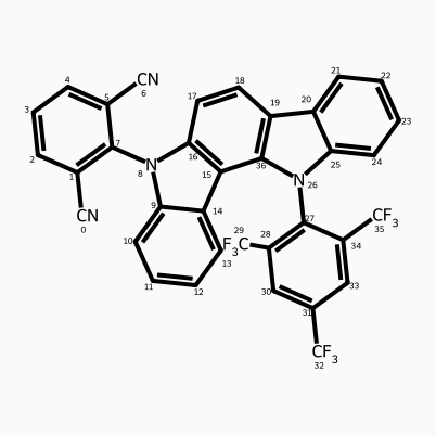 N#Cc1cccc(C#N)c1-n1c2ccccc2c2c1ccc1c3ccccc3n(-c3c(C(F)(F)F)cc(C(F)(F)F)cc3C(F)(F)F)c12